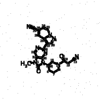 Cn1c(=O)n([C@@H]2CCCN(C(=O)CC#N)C2)c2nc(-c3cnn4ccc(C#N)cc34)ncc21